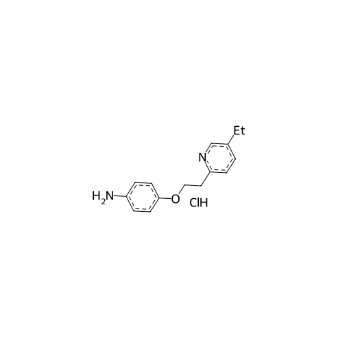 CCc1ccc(CCOc2ccc(N)cc2)nc1.Cl